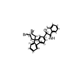 Cc1ccccc1C(=N)C(=O)c1ccc2c(c1)C(CCBr)(CCBr)c1ccccc1-2